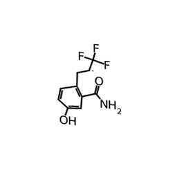 NC(=O)c1cc(O)ccc1C[CH]C(F)(F)F